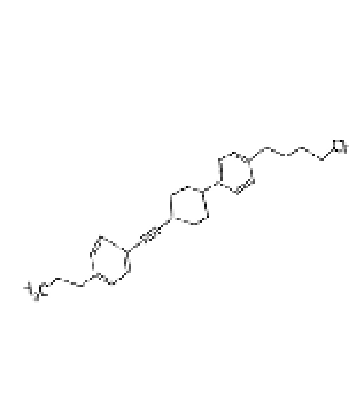 CCCCCc1ccc(C2CCC(C#Cc3ccc(CCC)cc3)CC2)cc1